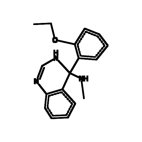 CCOc1ccccc1C1(NC)NC=Nc2ccccc21